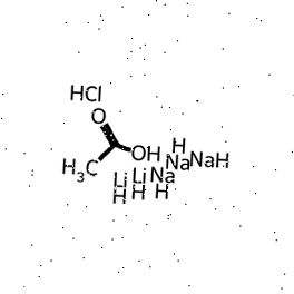 CC(=O)O.Cl.[LiH].[LiH].[NaH].[NaH].[NaH]